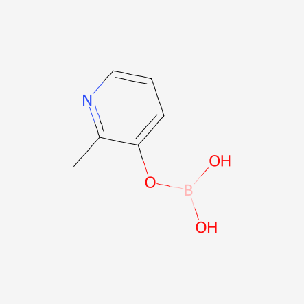 Cc1ncccc1OB(O)O